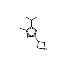 Cc1nn(C2CNC2)cc1C(C)C